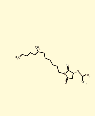 CCCCCC(C)CCCCCCN1C(=O)C[C@@H](SC(C)C)C1=O